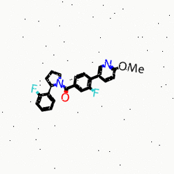 COc1ccc(-c2ccc(C(=O)N3CCC[C@@H]3c3ccccc3F)cc2F)cn1